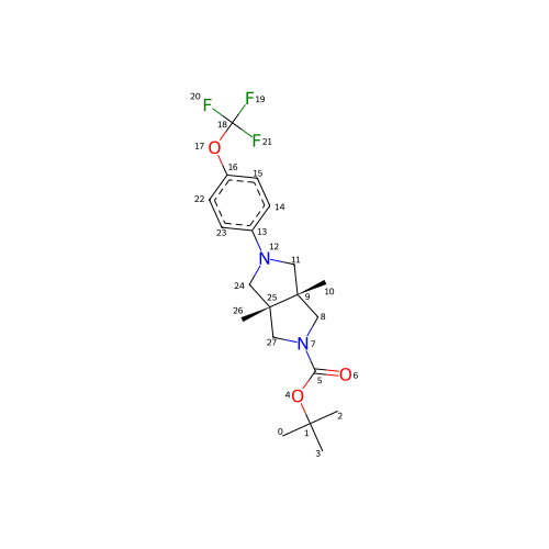 CC(C)(C)OC(=O)N1C[C@@]2(C)CN(c3ccc(OC(F)(F)F)cc3)C[C@@]2(C)C1